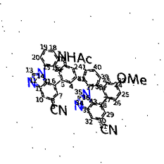 CC(=O)Nc1cccc(-c2cc(C#N)cc3ncn(-c4ccccc4)c23)c1.COc1ccc(-c2cc(C#N)cc3ncn(-c4ccccc4)c23)cc1